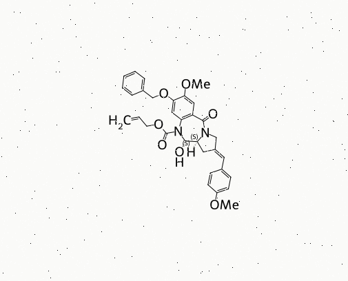 C=CCOC(=O)N1c2cc(OCc3ccccc3)c(OC)cc2C(=O)N2CC(=Cc3ccc(OC)cc3)C[C@H]2[C@@H]1O